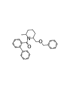 CC1CCCC(COCc2ccccc2)N1C(=O)c1ccccc1-c1ccccc1